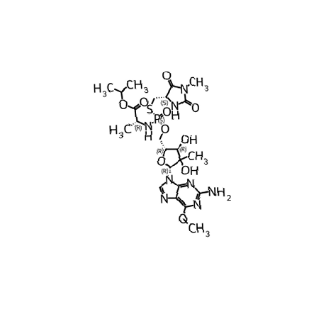 COc1nc(N)nc2c1ncn2[C@@H]1O[C@H](CO[P@@](=O)(N[C@H](C)C(=O)OC(C)C)SC[C@H]2NC(=O)N(C)C2=O)[C@@H](O)C1(C)O